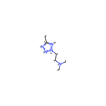 Cc1nnn(CCN(C)C)n1